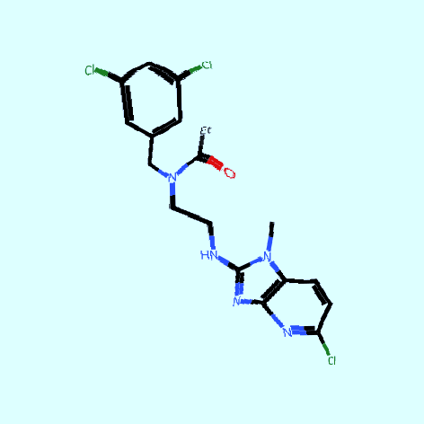 CCC(=O)N(CCNc1nc2nc(Cl)ccc2n1C)Cc1cc(Cl)cc(Cl)c1